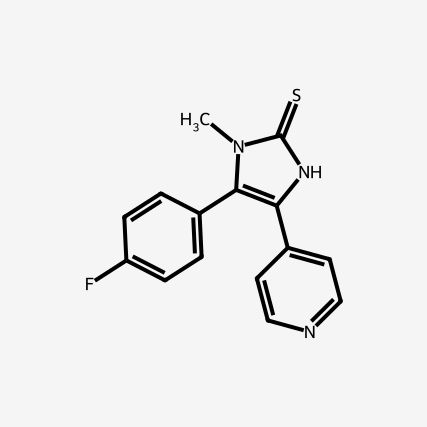 Cn1c(-c2ccc(F)cc2)c(-c2ccncc2)[nH]c1=S